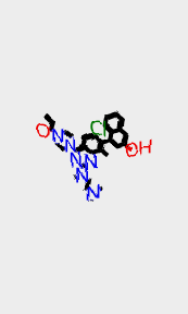 C=CC(=O)N1CCN(c2nc(N(C)CCN(C)C)nc3c(C)c(-c4cc(O)cc5ccccc45)c(Cl)cc23)CC1